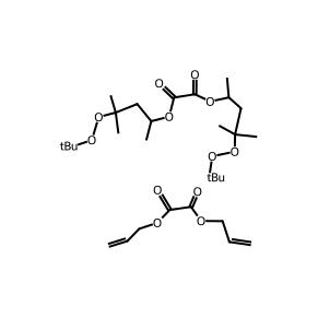 C=CCOC(=O)C(=O)OCC=C.CC(CC(C)(C)OOC(C)(C)C)OC(=O)C(=O)OC(C)CC(C)(C)OOC(C)(C)C